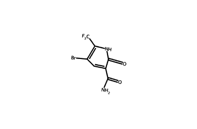 NC(=O)c1cc(Br)c(C(F)(F)F)[nH]c1=O